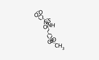 CCCS(=O)(=O)c1ccc(/C=C/C(=O)NC2=NC(c3ccc4c(c3)OCCO4)CS2)cc1